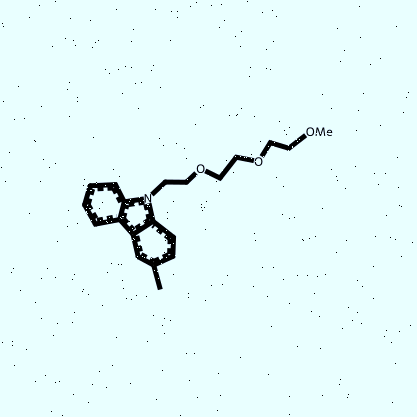 COCCOCCOCCn1c2ccccc2c2cc(C)ccc21